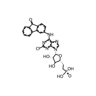 O=C1c2ccccc2-c2cc(Nc3nc(Cl)nc4c3ncn4[C@@H]3O[C@H](CCP(=O)(O)O)C(O)[C@@H]3O)ccc21